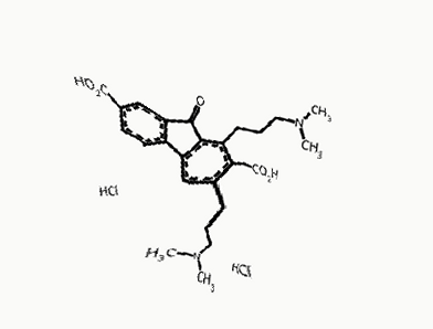 CN(C)CCCc1cc2c(c(CCCN(C)C)c1C(=O)O)C(=O)c1cc(C(=O)O)ccc1-2.Cl.Cl